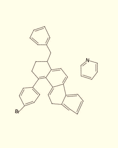 Brc1ccc(C2=c3c(ccc4c3=CCc3ccccc3-4)C(Cc3ccccc3)CC2)cc1.c1ccncc1